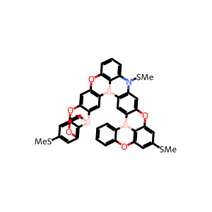 CSc1cc2c3c(c1)Oc1cc4c(cc1B3c1ccccc1O2)B1c2cc3c(cc2N(SC)c2cccc(c21)O4)Oc1cc(SC)cc2c1B3c1ccccc1O2